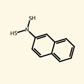 SN(S)c1ccc2ccccc2c1